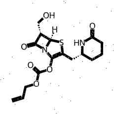 C=CCOC(=O)OC1=C(C[C@H]2CCCC(=O)N2)S[C@@H]2[C@@H](CO)C(=O)N12